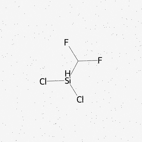 FC(F)[SiH](Cl)Cl